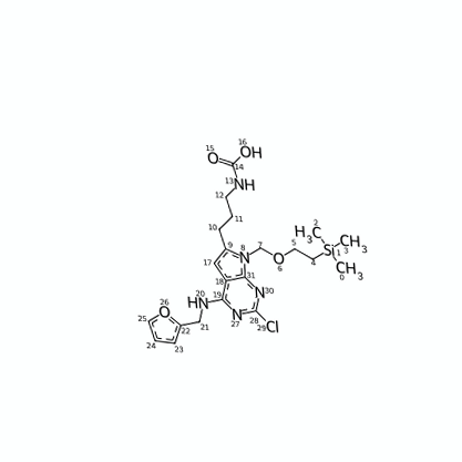 C[Si](C)(C)CCOCn1c(CCCNC(=O)O)cc2c(NCc3ccco3)nc(Cl)nc21